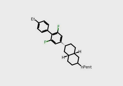 CCCCCC1CC[C@@H]2C[C@H](c3cc(F)c(-c4ccc(CC)cc4)c(F)c3)CC[C@@H]2C1